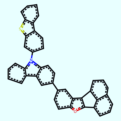 c1cc2c3c(cccc3c1)-c1c-2oc2ccc(-c3ccc4c(c3)c3ccccc3n4-c3ccc4c(c3)sc3ccccc34)cc12